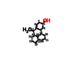 C=C(c1ccc(O)cc1)c1cccc2ccccc12